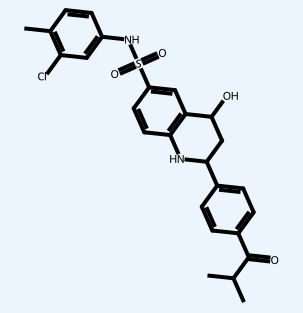 Cc1ccc(NS(=O)(=O)c2ccc3c(c2)C(O)CC(c2ccc(C(=O)C(C)C)cc2)N3)cc1Cl